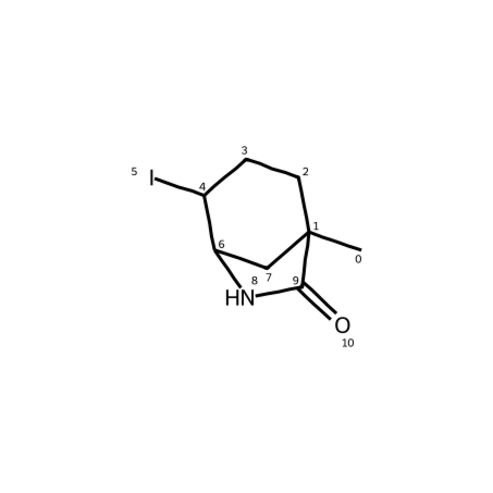 CC12CCC(I)C(C1)NC2=O